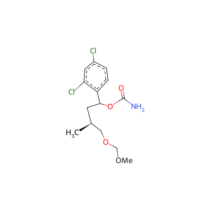 COCOC[C@@H](C)CC(OC(N)=O)c1ccc(Cl)cc1Cl